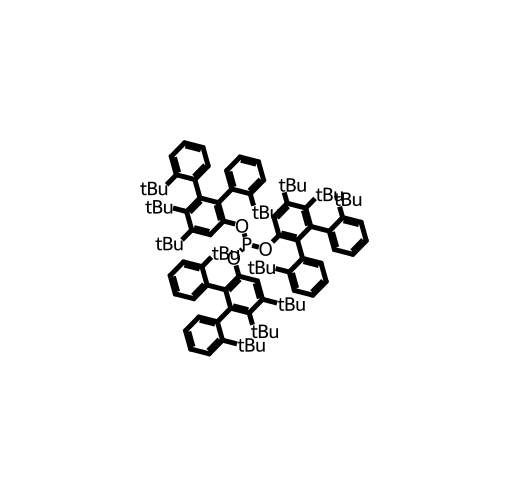 CC(C)(C)c1ccccc1-c1c(OP(Oc2cc(C(C)(C)C)c(C(C)(C)C)c(-c3ccccc3C(C)(C)C)c2-c2ccccc2C(C)(C)C)Oc2cc(C(C)(C)C)c(C(C)(C)C)c(-c3ccccc3C(C)(C)C)c2-c2ccccc2C(C)(C)C)cc(C(C)(C)C)c(C(C)(C)C)c1-c1ccccc1C(C)(C)C